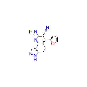 N#Cc1c(N)nc2c(c1-c1ccco1)CCc1[nH]ncc1-2